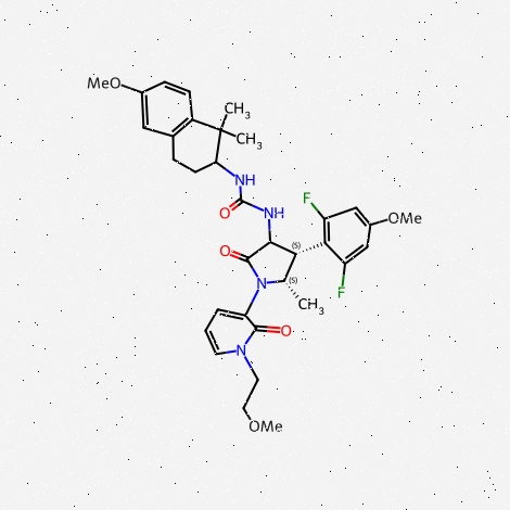 COCCn1cccc(N2C(=O)C(NC(=O)NC3CCc4cc(OC)ccc4C3(C)C)[C@H](c3c(F)cc(OC)cc3F)[C@@H]2C)c1=O